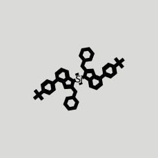 CC(C)(C)c1ccc(-c2cccc3c2C=C(CC2CCCCC2)C3[Si](C)(C)C2C(CC3CCCCC3)=Cc3c(-c4ccc(C(C)(C)C)cc4)cccc32)cc1